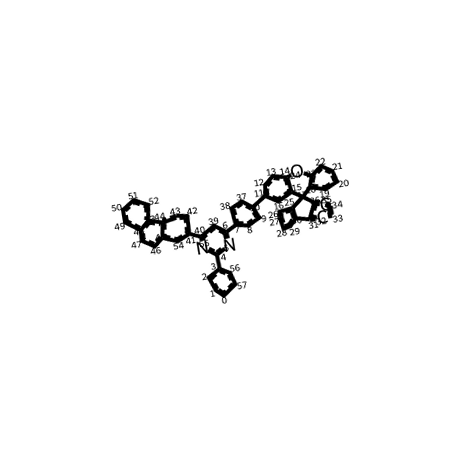 c1ccc(-c2nc(-c3ccc(-c4ccc5c(c4)C4(c6ccccc6O5)c5ccccc5-c5ccccc54)cc3)cc(-c3ccc4c(ccc5ccccc54)c3)n2)cc1